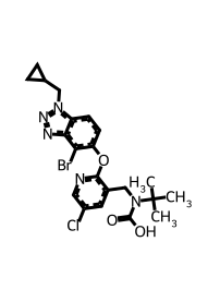 CC(C)(C)N(Cc1cc(Cl)cnc1Oc1ccc2c(nnn2CC2CC2)c1Br)C(=O)O